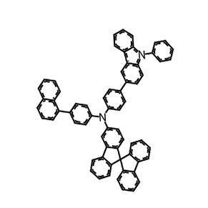 c1ccc(-n2c3ccccc3c3cc(-c4ccc(N(c5ccc(-c6cccc7ccccc67)cc5)c5ccc6c(c5)-c5ccccc5C65c6ccccc6-c6ccccc65)cc4)ccc32)cc1